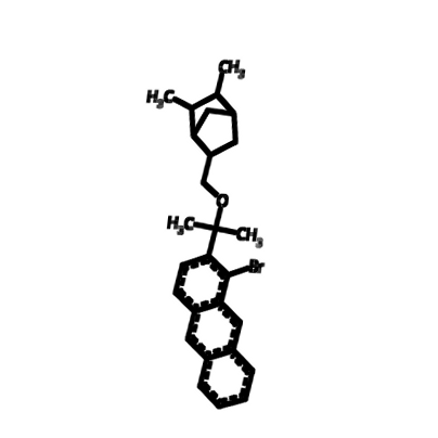 CC1C2CC(COC(C)(C)c3ccc4cc5ccccc5cc4c3Br)C(C2)C1C